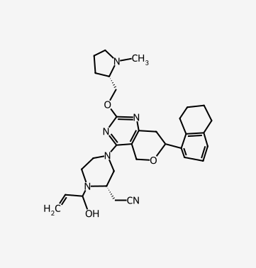 C=CC(O)N1CCN(c2nc(OC[C@@H]3CCCN3C)nc3c2COC(c2cccc4c2CCCC4)C3)C[C@@H]1CC#N